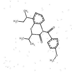 CCC(C)c1cccc2c1OC(C(C)C)C(=O)N2C(=O)c1ccc(OC)cc1